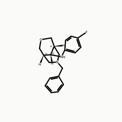 Fc1ccc(N[C@H]2[C@@H]3COC[C@H]2CN(Cc2ccccc2)C3)cc1